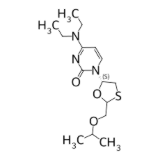 CCN(CC)c1ccn([C@@H]2CSC(COC(C)C)O2)c(=O)n1